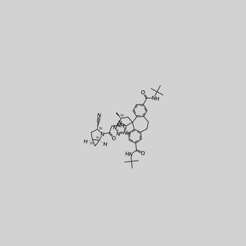 C[C@@H](CC1(c2nnn[nH]2)c2ccc(C(=O)NC(C)(C)C)cc2CCc2cc(C(=O)NC(C)(C)C)ccc21)NCC(=O)N1[C@H](C#N)C[C@@H]2C[C@@H]21